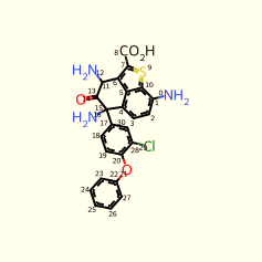 Nc1ccc2c3c(c(C(=O)O)sc13)C(N)C(=O)C2(N)c1ccc(Oc2ccccc2)c(Cl)c1